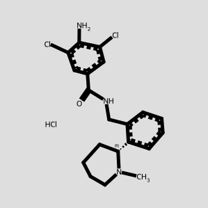 CN1CCCC[C@@H]1c1ccccc1CNC(=O)c1cc(Cl)c(N)c(Cl)c1.Cl